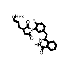 CCCCCC/C=C/CC1CC(=O)N(c2cc(Cc3n[nH]c(=O)c4ccccc34)ccc2F)C1=O